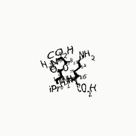 CC(C)C[C@H](N)C(=O)O[C@H](C)[C@H](N)C(=O)O.NCCCC[C@H](N)C(=O)O